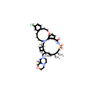 CO[C@]1(CN2CCN3CCOC[C@@H]3C2)/C=C/[C@H](C)[C@H](C)CS(=O)(=O)NC(=O)c2ccc3c(c2)N(CCCCc2cc(Cl)ccc2CCO3)C[C@@H]2CC[C@H]21